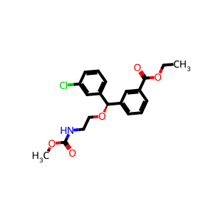 CCOC(=O)c1cccc([C@@H](OCCNC(=O)OC)c2cccc(Cl)c2)c1